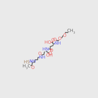 CCCOCCOCC(=O)N[C@@H](CCC(=O)N[C@@H](CCC(=O)NCCCC[C@H](NS)C(C)=O)C(=O)O)C(=O)O